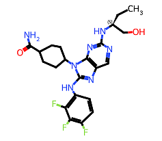 CC[C@@H](CO)Nc1ncc2nc(Nc3ccc(F)c(F)c3F)n(C3CCC(C(N)=O)CC3)c2n1